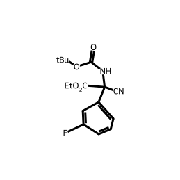 CCOC(=O)C(C#N)(NC(=O)OC(C)(C)C)c1cccc(F)c1